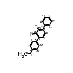 CCc1ccc(-c2ccc(-c3ccccc3)c(F)c2F)cc1